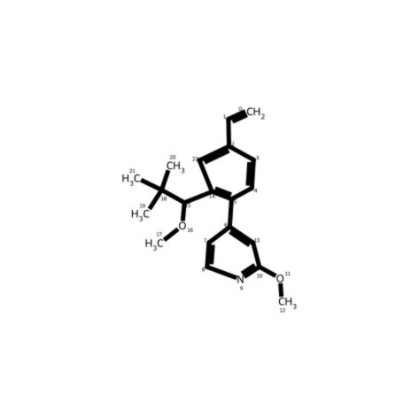 C=Cc1ccc(-c2ccnc(OC)c2)c(C(OC)C(C)(C)C)c1